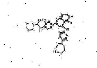 O=C(Nc1ccc(-c2cc(Nc3ccc(N4CCCNCC4)cn3)c3c(=O)[nH]ccc3n2)cc1F)C1CCCCC1